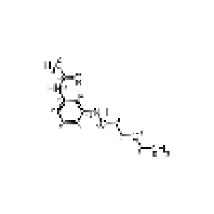 CCOCCONc1cccc(NC(C)=O)c1